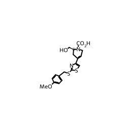 COc1ccc(CSc2nc(C3=CCN(C(=O)O)[C@H](CO)C3)cs2)cc1